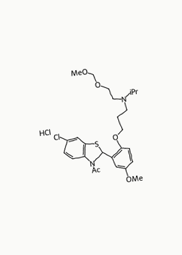 COCOCCN(CCCOc1ccc(OC)cc1C1Sc2cc(Cl)ccc2N1C(C)=O)C(C)C.Cl